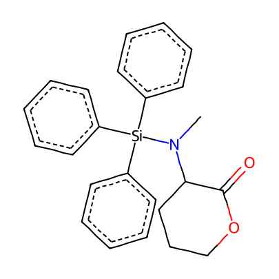 CN(C1CCCOC1=O)[Si](c1ccccc1)(c1ccccc1)c1ccccc1